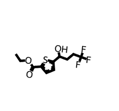 CCOC(=O)c1ccc(C(O)CCC(F)(F)F)s1